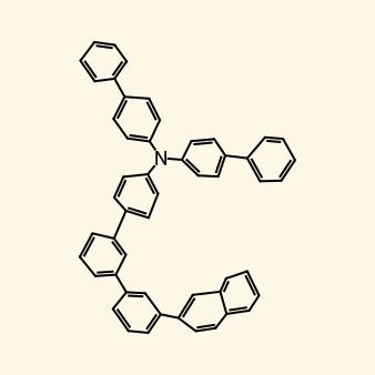 c1ccc(-c2ccc(N(c3ccc(-c4ccccc4)cc3)c3ccc(-c4cccc(-c5cccc(-c6ccc7ccccc7c6)c5)c4)cc3)cc2)cc1